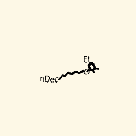 CCCCCCCCCCCCCCCCCCOc1cc(CC)cc(C)c1C